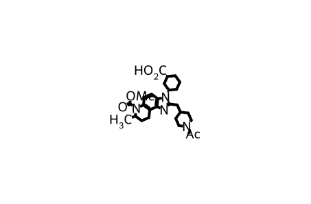 COC(=O)N1c2ccc3c(nc(CC4CCN(C(C)=O)CC4)n3[C@@H]3CCC[C@@H](C(=O)O)C3)c2CCC1C